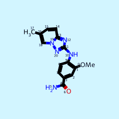 COc1cc(C(N)=O)ccc1Nc1nc2ccc(C)cn2n1